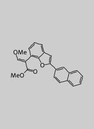 CO/C=C(/C(=O)OC)c1cccc2cc(-c3ccc4ccccc4c3)oc12